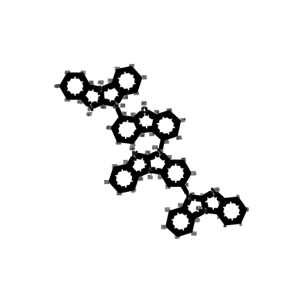 c1ccc2c(c1)nc1n(-c3ccc4c(c3)n3c5ccccc5nc3n4-c3cccc4oc5c(-n6c7ccccc7n7c8ccccc8nc67)cccc5c34)c3ccccc3n21